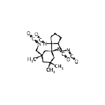 CC1(C)CC(C)(CN=C=O)CC(N=C=O)(C2(N=C=O)CCCC2CN=C=O)C1